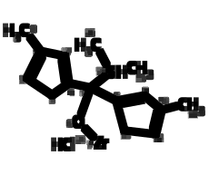 CC1=CCC(C([O][Zr])(C2=CC(C)=CC2)[SiH](C)C)=C1.Cl